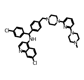 CN1CCN(c2cccc(N3CCN(Cc4ccc(C(Nc5ccnc6cc(Cl)ccc56)c5ccc(Cl)cc5)cc4)CC3)n2)CC1